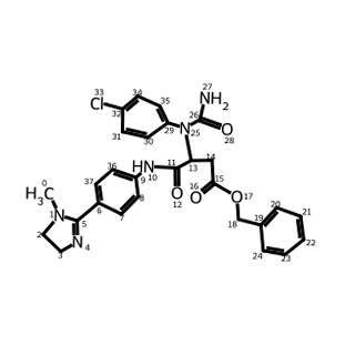 CN1CCN=C1c1ccc(NC(=O)C(CC(=O)OCc2ccccc2)N(C(N)=O)c2ccc(Cl)cc2)cc1